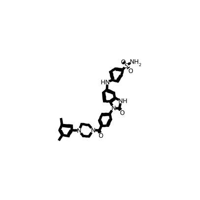 Cc1cc(C)cc(N2CCN(C(=O)c3ccc(-n4c(=O)[nH]c5cc(Nc6ccc(S(N)(=O)=O)cc6)ccc54)cc3)CC2)c1